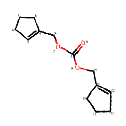 O=C(OCC1=CCCC1)OCC1=CCCC1